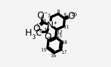 CC(=O)[N+]1(C(=O)[O-])CCC(=O)CC1c1ccccc1